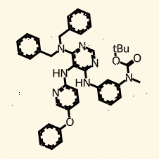 CN(C(=O)OC(C)(C)C)c1cccc(Nc2ncnc(N(Cc3ccccc3)Cc3ccccc3)c2Nc2ccc(Oc3ccccc3)cn2)c1